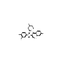 Cc1ccc(S(=O)(=O)c2cnc3cc(F)ccc3c2N2CCC(C)CC2)cc1Cl